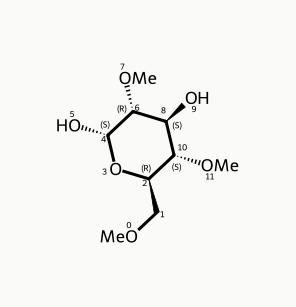 COC[C@H]1O[C@H](O)[C@H](OC)[C@@H](O)[C@@H]1OC